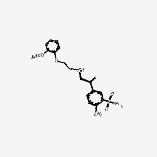 COc1ccccc1OCCNCC(I)c1ccc(C)c(S(N)(=O)=O)c1